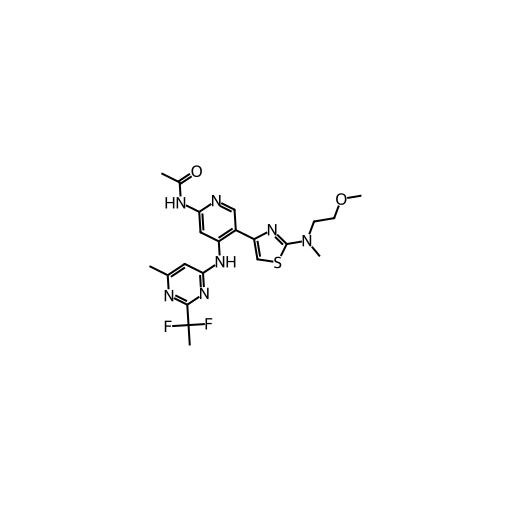 COCCN(C)c1nc(-c2cnc(NC(C)=O)cc2Nc2cc(C)nc(C(C)(F)F)n2)cs1